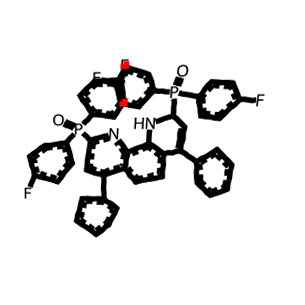 O=P(c1ccc(F)cc1)(c1ccc(F)cc1)c1cc(-c2ccccc2)c2ccc3c(c2n1)NC(P(=O)(c1ccc(F)cc1)c1ccc(F)cc1)C=C3c1ccccc1